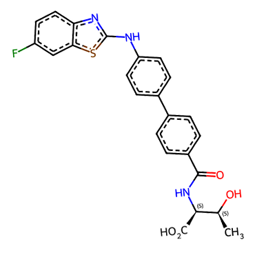 C[C@H](O)[C@H](NC(=O)c1ccc(-c2ccc(Nc3nc4ccc(F)cc4s3)cc2)cc1)C(=O)O